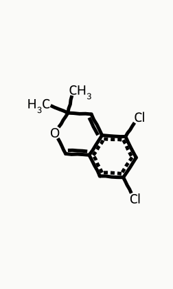 CC1(C)C=c2c(Cl)cc(Cl)cc2=CO1